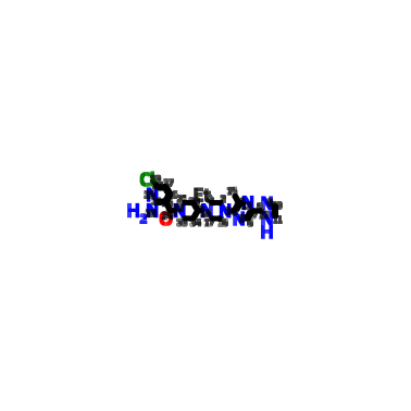 CC[C@H]1CN(c2ncc(-c3ncc[nH]3)nc2C)CCN1C1CCN(C(=O)c2ccc(Cl)nc2N)CC1